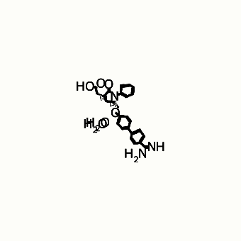 N=C(N)c1ccc(-c2ccc(OC[C@@H]3C[C@@H](CC(=O)O)C(=O)N3c3ccccc3)cc2)cc1.O.O